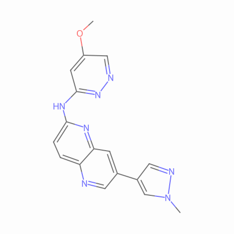 COc1cnnc(Nc2ccc3ncc(-c4cnn(C)c4)cc3n2)c1